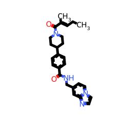 CCC=C(C)C(=O)N1CCC(c2ccc(C(=O)NCc3ccn4ccnc4c3)cc2)CC1